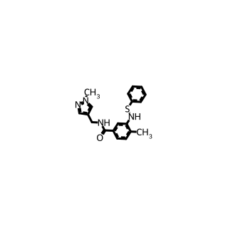 Cc1ccc(C(=O)NCc2cnn(C)c2)cc1NSc1ccccc1